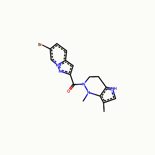 Cc1c[nH]c2c1N(C)N(C(=O)c1cc3ccc(Br)cn3n1)CC2